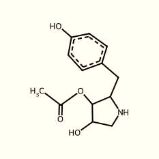 CC(=O)OC1C(O)CNC1Cc1ccc(O)cc1